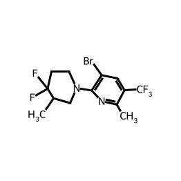 Cc1nc(N2CCC(F)(F)C(C)C2)c(Br)cc1C(F)(F)F